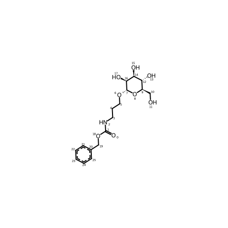 O=C(NCCCO[C@H]1O[C@H](CO)[C@@H](O)[C@H](O)[C@@H]1O)OCc1ccccc1